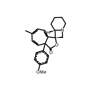 COc1ccc(C23C=CC(C)=CC=C2[C@@]2(CN4CCCC[C@H]42)OC3=O)cc1